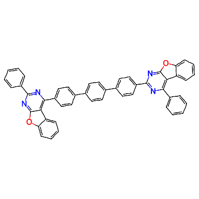 c1ccc(-c2nc(-c3ccc(-c4ccc(-c5ccc(-c6nc(-c7ccccc7)c7c(n6)oc6ccccc67)cc5)cc4)cc3)c3c(n2)oc2ccccc23)cc1